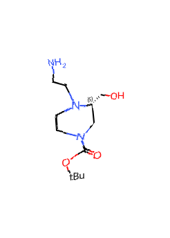 CC(C)(C)OC(=O)N1CCN(CCN)[C@H](CO)C1